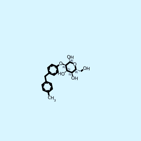 Cc1ccc(Cc2ccc(O[C@@H]3[C@@H](O)[C@H](O)[C@@H](CO)O[C@H]3O)cc2)cc1